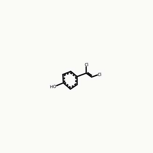 Oc1ccc(C(Cl)=CCl)cc1